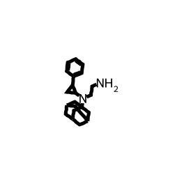 NCCN(C1CC1c1ccccc1)C12CC3CC(CC(C3)C1)C2